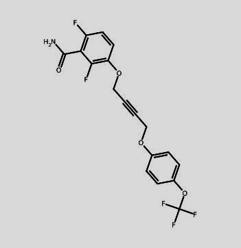 NC(=O)c1c(F)ccc(OCC#CCOc2ccc(OC(F)(F)F)cc2)c1F